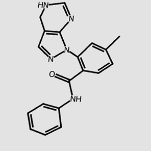 Cc1ccc(C(=O)Nc2ccccc2)c(-n2ncc3c2N=CNC3)c1